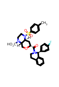 Cc1ccc(S(=O)(=O)N2CCN(C(=O)O)[C@H]3CO[C@@H](C(=O)N4CCc5ccccc5[C@@H]4c4ccc(F)cc4)C[C@@H]32)cc1